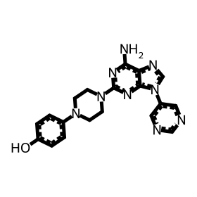 Nc1nc(N2CCN(c3ccc(O)cc3)CC2)nc2c1ncn2-c1cncnc1